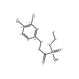 CCOP(=O)(O)C(=O)CCc1ccc(Cl)c(Cl)c1